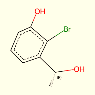 C[C@@H](O)c1cccc(O)c1Br